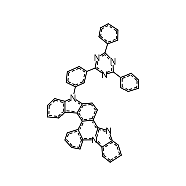 c1ccc(-c2nc(-c3ccccc3)nc(-c3cccc(-n4c5ccccc5c5c6c7ccccc7n7c8ccccc8nc7c6ccc54)c3)n2)cc1